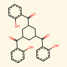 O=C(c1ccccc1O)C1CC(C(=O)c2ccccc2O)CC(C(=O)c2ccccc2O)C1